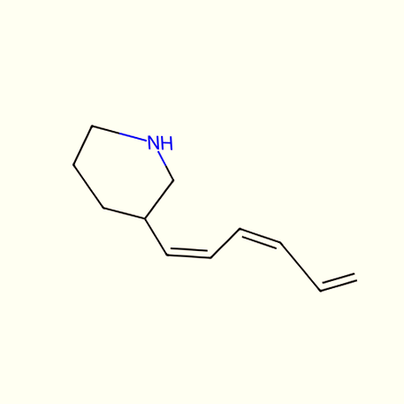 C=C/C=C\C=C/C1CCCNC1